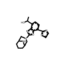 CC(O)c1ccc(-c2nccs2)c2oc(N3CC4CCCC(C3)N4)nc12